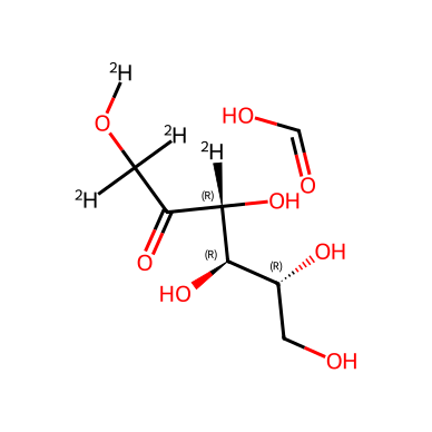 O=CO.[2H]OC([2H])([2H])C(=O)[C@]([2H])(O)[C@H](O)[C@H](O)CO